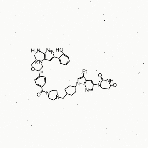 CCc1cn(C2CCC(CN3CCN(C(=O)c4ccc([C@@H]5CN(c6cc(-c7ccccc7O)nnc6N)[C@H](C)CO5)cc4)CC3)CC2)c2ncc(N3CCC(=O)NC3=O)cc12